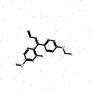 C=CC=C(c1ccc(OCC)cc1)c1ccc(OC)cc1C